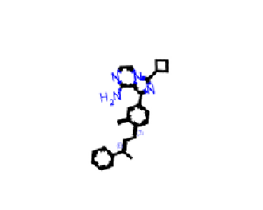 C=c1cc(-c2nc(C3CCC3)n3ccnc(N)c23)cc/c1=C/C=C(\C)c1ccccc1